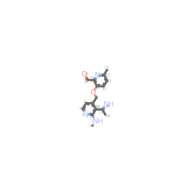 CNc1nccc(COc2ccc(C)nc2C=O)c1C(C)=N